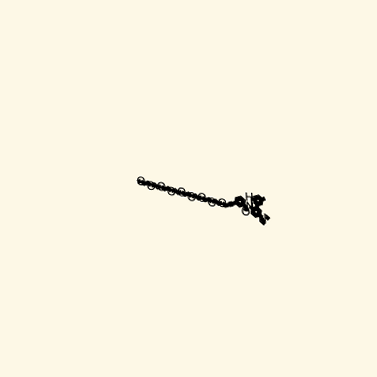 CCN(CC)c1ccc(NC(=O)c2cccc(C#CCOCCOCCOCCOCCOCCOCCOCCOCCOC)c2)c(-c2cc(C)ccn2)c1